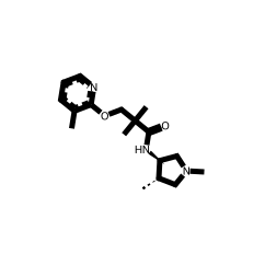 Cc1cccnc1OCC(C)(C)C(=O)N[C@H]1CN(C)C[C@@H]1C